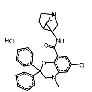 CN1CC(c2ccccc2)(c2ccccc2)Oc2c(C(=O)NC3CN4CCC3CC4)cc(Cl)cc21.Cl